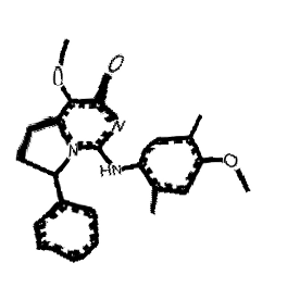 COc1cc(C)c(Nc2nc(=O)c(OC)c3n2C(c2ccccc2)CC3)cc1C